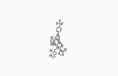 CC(C)[C@H]1CSC(=O)N1c1ncnc(N[C@@H](C)c2cn(-c3ccc(C(F)(F)F)cc3)cn2)n1